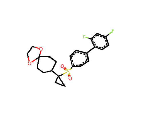 O=S(=O)(c1ccc(-c2ccc(F)cc2F)cc1)C1(C2CCC3(CC2)OCCO3)CC1